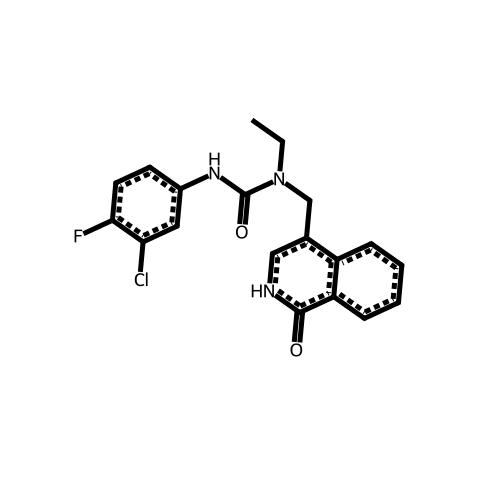 CCN(Cc1c[nH]c(=O)c2ccccc12)C(=O)Nc1ccc(F)c(Cl)c1